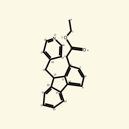 CCOC(=O)Cc1cccc2c1C(Cc1ccncc1)c1ccccc1-2